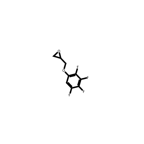 Fc1cc(OCC2CO2)c(F)c(F)c1F